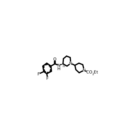 CCOC(=O)N1CCC(N2CCC[C@H](NC(=O)c3ccc(F)c(F)c3)C2)CC1